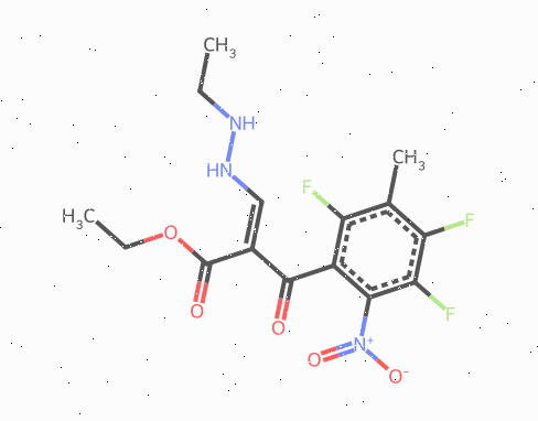 CCNNC=C(C(=O)OCC)C(=O)c1c(F)c(C)c(F)c(F)c1[N+](=O)[O-]